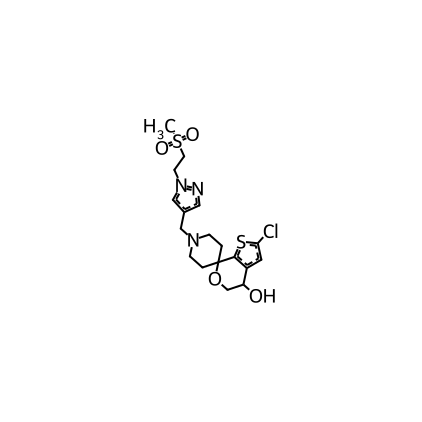 CS(=O)(=O)CCn1cc(CN2CCC3(CC2)OCC(O)c2cc(Cl)sc23)cn1